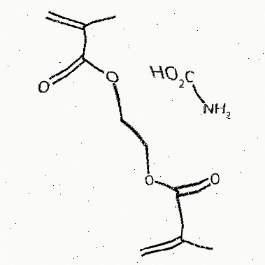 C=C(C)C(=O)OCCOC(=O)C(=C)C.NC(=O)O